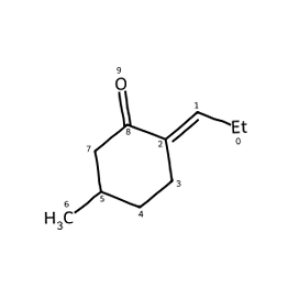 CCC=C1CCC(C)CC1=O